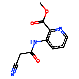 COC(=O)c1ncccc1NC(=O)CC#N